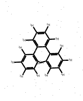 [2H]c1c([2H])c([2H])c(-c2c([2H])c([2H])c([2H])c([2H])c2-c2c([2H])c([2H])c([2H])c([2H])c2[2H])c([2H])c1[2H]